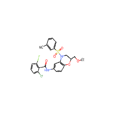 CCOCC1CN(S(=O)(=O)c2cccc(C#N)c2)c2cc(NC(=O)c3c(F)cccc3Cl)ccc2O1